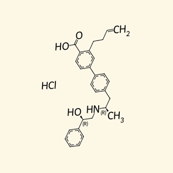 C=CCCc1cc(-c2ccc(C[C@@H](C)NC[C@H](O)c3ccccc3)cc2)ccc1C(=O)O.Cl